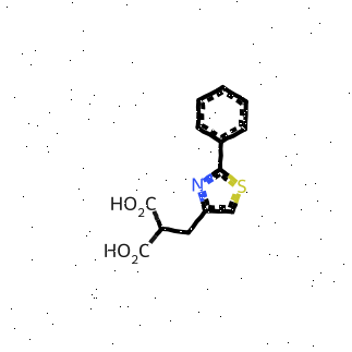 O=C(O)C(Cc1csc(-c2ccccc2)n1)C(=O)O